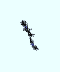 Cc1c[n+](CCCCCCCCCC[n+]2ccc(/C=C/c3ccc(N4CCCC4)cc3)c(C)c2)ccc1/C=C/c1ccc(N2CCCC2)cc1.[Br-].[Br-]